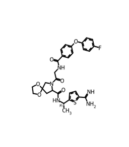 C[C@@H](NC(=O)C1CC2(CN1C(=O)CNC(=O)c1ccc(Oc3ccc(F)cc3)cc1)OCCO2)c1ccc(C(=N)N)s1